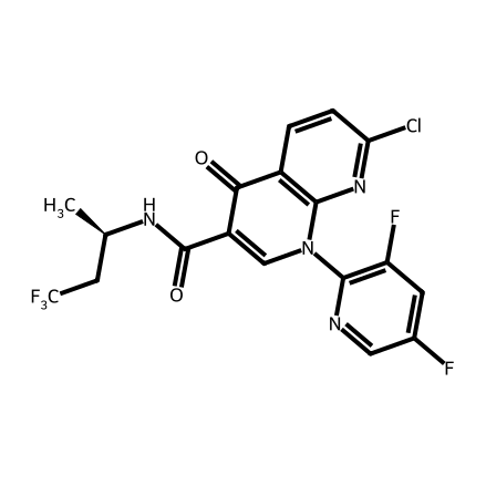 C[C@H](CC(F)(F)F)NC(=O)c1cn(-c2ncc(F)cc2F)c2nc(Cl)ccc2c1=O